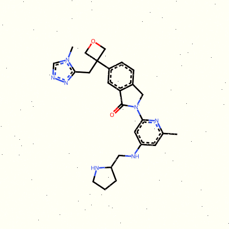 Cc1cc(NCC2CCCN2)cc(N2Cc3ccc(C4(Cc5nncn5C)COC4)cc3C2=O)n1